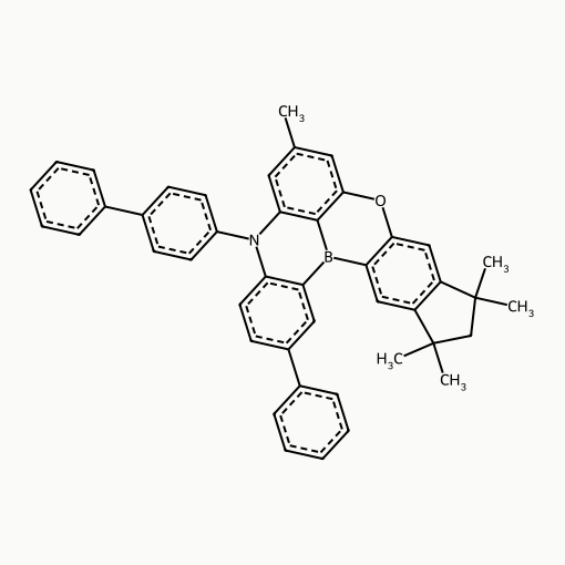 Cc1cc2c3c(c1)N(c1ccc(-c4ccccc4)cc1)c1ccc(-c4ccccc4)cc1B3c1cc3c(cc1O2)C(C)(C)CC3(C)C